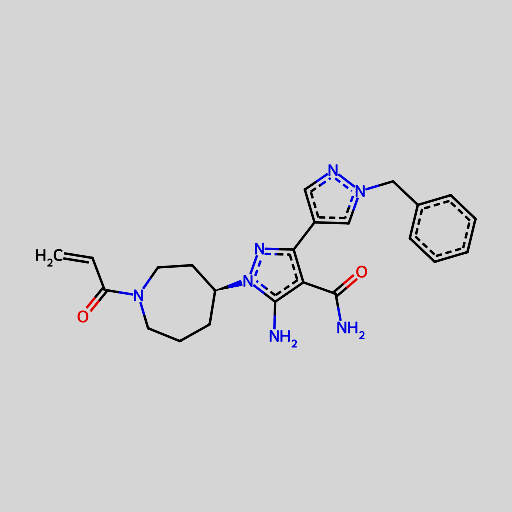 C=CC(=O)N1CCC[C@H](n2nc(-c3cnn(Cc4ccccc4)c3)c(C(N)=O)c2N)CC1